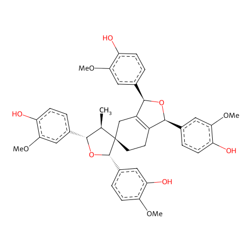 COc1ccc([C@@H]2O[C@H](c3ccc(O)c(OC)c3)[C@@H](C)[C@@]23CCC2=C(C3)[C@@H](c3ccc(O)c(OC)c3)O[C@H]2c2ccc(O)c(OC)c2)cc1O